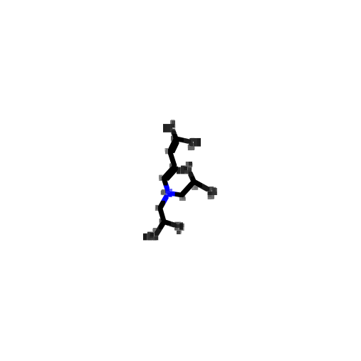 CCCCC(CC)CN(/C=C/C=C(C#N)C#N)CC(CC)CCCC